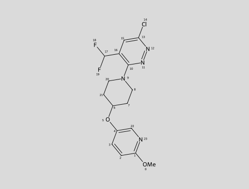 COc1ccc(OC2CCN(c3nnc(Cl)cc3C(F)F)CC2)cn1